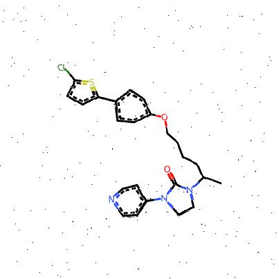 CC(CCCCOc1ccc(-c2ccc(Cl)s2)cc1)N1CCN(c2ccncc2)C1=O